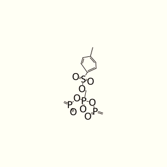 C=P(=O)OP(=O)(COS(=O)(=O)c1ccc(C)cc1)OP(=C)=O